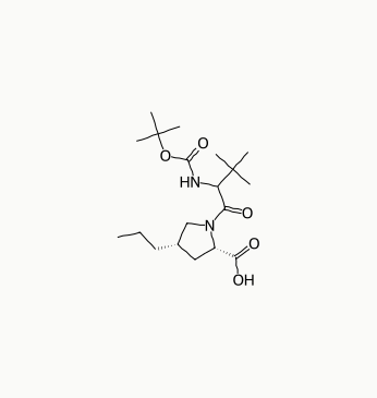 CCC[C@H]1C[C@@H](C(=O)O)N(C(=O)C(NC(=O)OC(C)(C)C)C(C)(C)C)C1